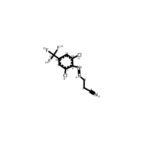 N#CCC/N=N/c1c(Cl)cc(C(F)(F)F)cc1Cl